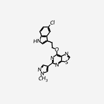 Cn1cc(-c2nc(OCCc3c[nH]c4ccc(Cl)cc34)c3ncsc3n2)cn1